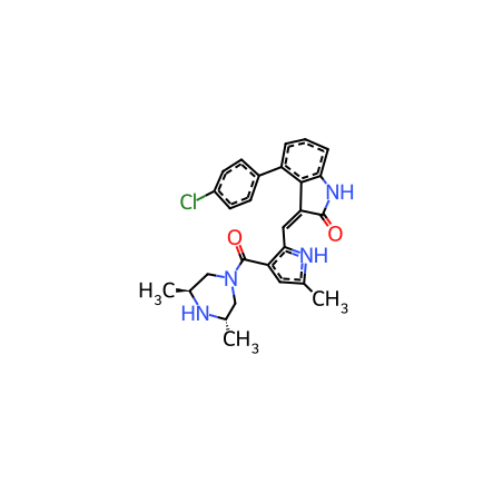 Cc1cc(C(=O)N2C[C@H](C)N[C@@H](C)C2)c(C=C2C(=O)Nc3cccc(-c4ccc(Cl)cc4)c32)[nH]1